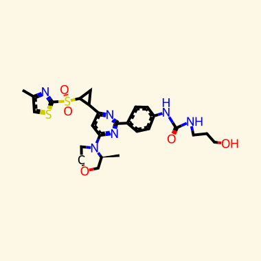 Cc1csc(S(=O)(=O)C2CC2c2cc(N3CCOC[C@@H]3C)nc(-c3ccc(NC(=O)NCCCO)cc3)n2)n1